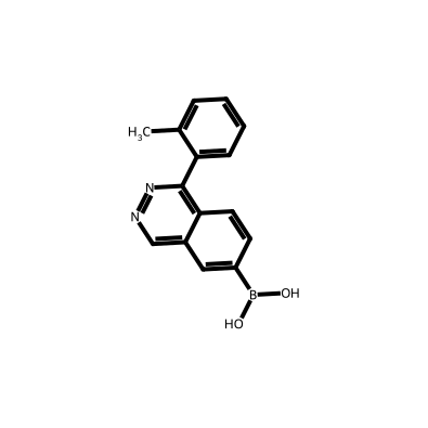 Cc1ccccc1-c1nncc2cc(B(O)O)ccc12